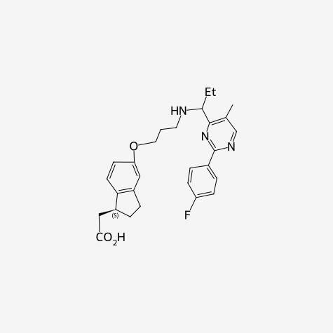 CCC(NCCCOc1ccc2c(c1)CC[C@H]2CC(=O)O)c1nc(-c2ccc(F)cc2)ncc1C